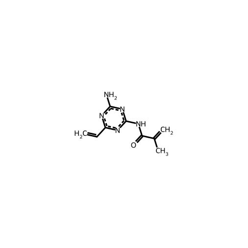 C=Cc1nc(N)nc(NC(=O)C(=C)C)n1